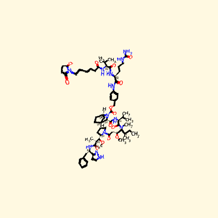 CC[C@H](C)[C@@H]([C@@H](CC(=O)N1CCC[C@H]1C(OC)[C@@H](C)C(=O)N[C@@H](Cc1ccccc1)c1cc[nH]n1)OC)N(C)C(=O)[C@@H](NC(=O)[C@@H]1[C@H]2CC[C@H](C2)N1C(=O)OCc1ccc(NC(=O)[C@H](CCCNC(N)=O)NC(=O)[C@@H](NC(=O)CCCCCN2C(=O)C=CC2=O)C(C)C)cc1)C(C)C